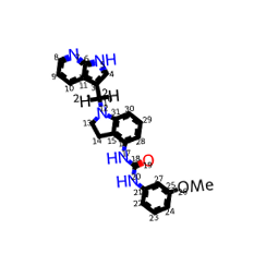 [2H]C([2H])(c1c[nH]c2ncccc12)N1CCc2c(NC(=O)Nc3cccc(OC)c3)cccc21